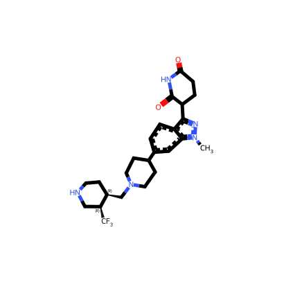 Cn1nc(C2CCC(=O)NC2=O)c2ccc(C3CCN(C[C@@H]4CCNC[C@@H]4C(F)(F)F)CC3)cc21